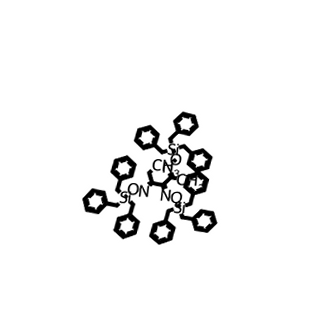 CCC(=NO[Si](Cc1ccccc1)(Cc1ccccc1)Cc1ccccc1)C(=NO[Si](Cc1ccccc1)(Cc1ccccc1)Cc1ccccc1)C(C)=NO[Si](Cc1ccccc1)(Cc1ccccc1)Cc1ccccc1